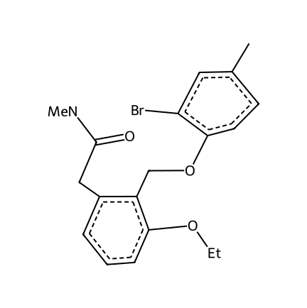 CCOc1cccc(CC(=O)NC)c1COc1ccc(C)cc1Br